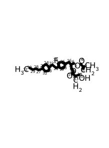 C=C(C)C(=O)OCC(COC(=O)C(=C)CO)Cc1ccc(CCC2CCC(CCCCC)CC2)c(F)c1